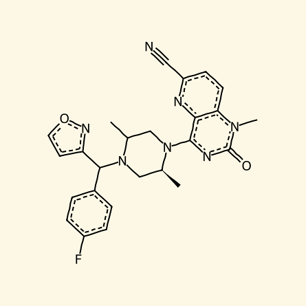 CC1CN(c2nc(=O)n(C)c3ccc(C#N)nc23)[C@@H](C)CN1C(c1ccc(F)cc1)c1ccon1